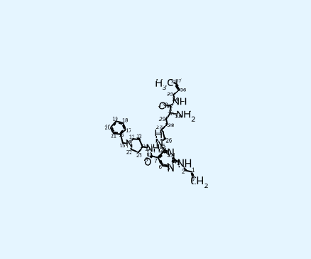 C=CCNc1ncc(C(=O)NC2CCN(Cc3ccccc3)CC2)c(NCCCC[C@H](N)C(=O)NC/C=C\C)n1